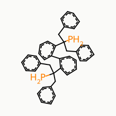 PC(Cc1ccccc1)(Cc1ccccc1)c1ccccc1-c1ccccc1C(P)(Cc1ccccc1)Cc1ccccc1